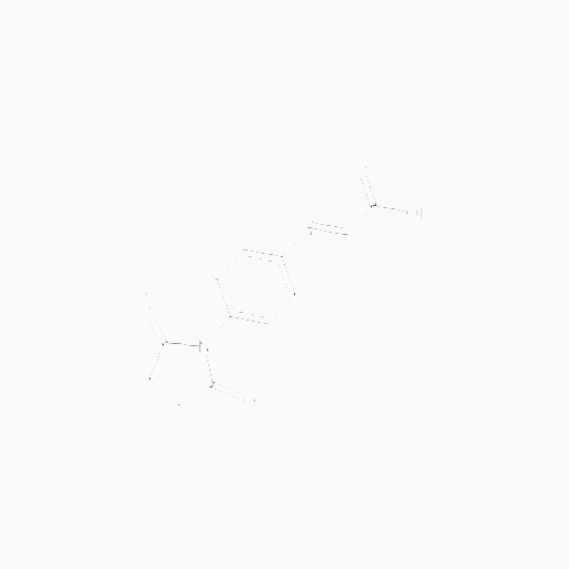 O=C(O)/C=C/c1ccc(N2C(=O)C=CC2=O)cc1